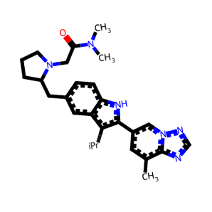 Cc1cc(-c2[nH]c3ccc(CC4CCCN4CC(=O)N(C)C)cc3c2C(C)C)cn2ncnc12